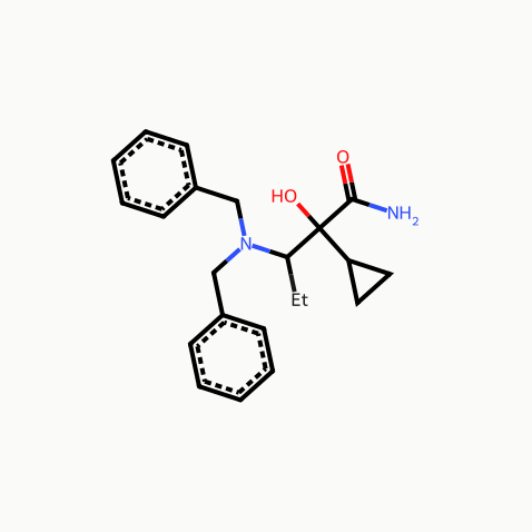 CCC(N(Cc1ccccc1)Cc1ccccc1)C(O)(C(N)=O)C1CC1